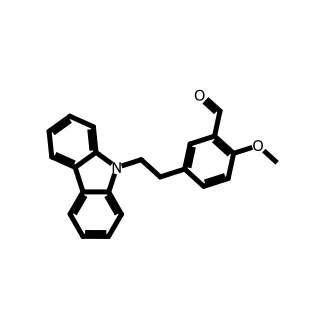 COc1ccc(CCn2c3ccccc3c3ccccc32)cc1C=O